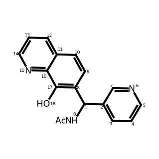 CC(=O)NC(c1cccnc1)c1ccc2cccnc2c1O